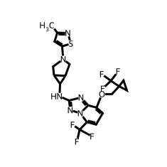 Cc1cc(N2CC3C(C2)C3Nc2nc3c(OCC4(C(F)(F)F)CC4)ccc(C(F)(F)F)n3n2)sn1